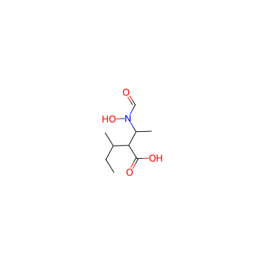 CCC(C)C(C(=O)O)C(C)N(O)C=O